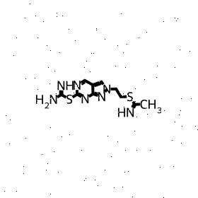 CC(=N)SCCn1cc2cnc(SC(=N)N)nc2n1